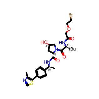 Cc1ncsc1-c1ccc([C@H](C)NC(=O)[C@@H]2C[C@@H](O)CN2C(=O)[C@@H](NC(=O)COCCBr)C(C)(C)C)cc1